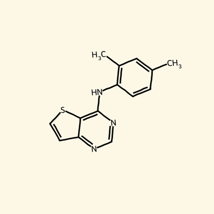 Cc1ccc(Nc2ncnc3ccsc23)c(C)c1